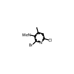 CNc1c(C)cc(Cl)nc1Br